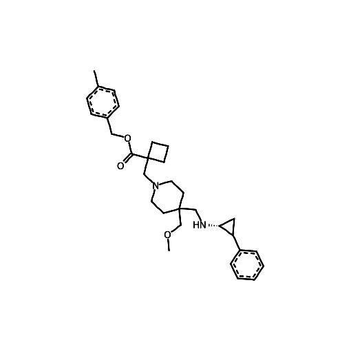 COCC1(CN[C@@H]2CC2c2ccccc2)CCN(CC2(C(=O)OCc3ccc(C)cc3)CCC2)CC1